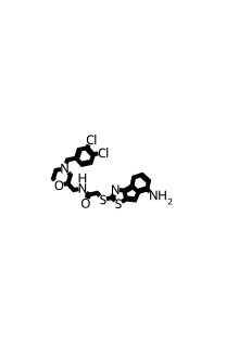 NC1=C2C=c3sc(SCC(=O)NCC4CN(Cc5ccc(Cl)c(Cl)c5)CCO4)nc3=C2CC=C1